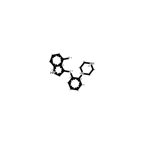 Fc1cccc2[nH]cc(Sc3ccccc3N3CCNCC3)c12